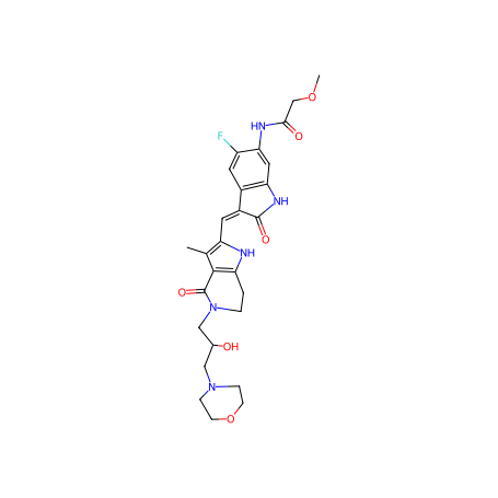 COCC(=O)Nc1cc2c(cc1F)C(=Cc1[nH]c3c(c1C)C(=O)N(CC(O)CN1CCOCC1)CC3)C(=O)N2